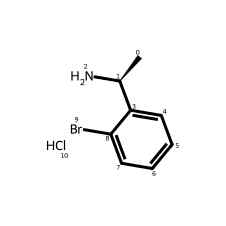 C[C@H](N)c1ccccc1Br.Cl